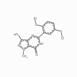 CCCc1nn(C)c2c(=O)[nH]c(-c3cc(SCl)ccc3OCC)nc12